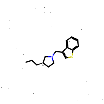 CCC[C@@H]1CCN(Cc2csc3ccccc23)C1